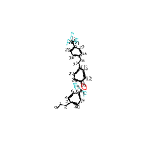 CCCc1ccc(C(F)(F)Oc2ccc(CCc3ccc(C(F)(F)F)cc3)cc2)cc1